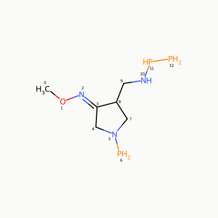 CON=C1CN(P)CC1CNPP